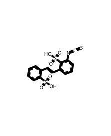 O=S(=O)(O)c1ccccc1/C=C/c1cccc(N=C=S)c1S(=O)(=O)O